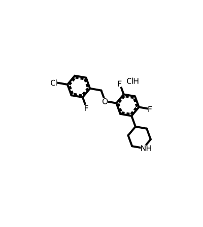 Cl.Fc1cc(Cl)ccc1COc1cc(C2CCNCC2)c(F)cc1F